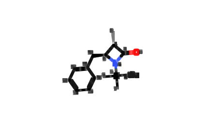 C[C@@H]1C(=O)N([Si](C)(C)C(C)(C)C)[C@H]1Cc1ccccc1